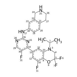 CC(C)N1CC(F)(F)Oc2c(F)cc(-c3nc(Nc4ccc5c(c4)CNCC5)ncc3F)cc21